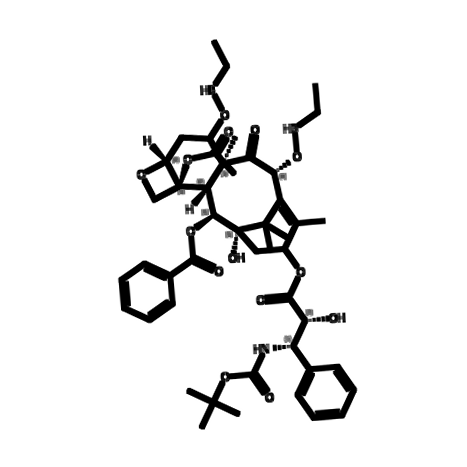 CCBOC1C[C@H]2OC[C@@]2(OC(C)=O)[C@H]2[C@H](OC(=O)c3ccccc3)[C@]3(O)CC(OC(=O)[C@H](O)[C@@H](NC(=O)OC(C)(C)C)c4ccccc4)C(C)=C([C@@H](OBCC)C(=O)[C@]12C)C3(C)C